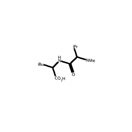 CCC(C)C(NC(=O)C(NC)C(C)C)C(=O)O